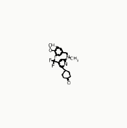 COc1ccc(CN(C)c2cc(C(F)(F)F)cc(C3CCC(=O)CC3)n2)cc1